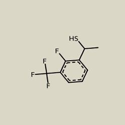 CC(S)c1cccc(C(F)(F)F)c1F